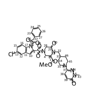 COC(=O)[C@H]1CN(S(=O)(=O)c2cc3cc(Cl)ccc3n2S(=O)(=O)c2ccccc2)CC(=O)N1CC1CCN(c2ccc(=O)n(C)n2)CC1